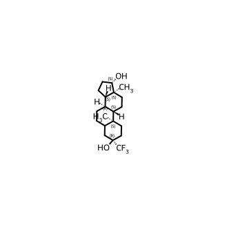 C[C@]12CC[C@H]3[C@@H](CCC4C[C@@](O)(C(F)(F)F)CC[C@@]43C)[C@@H]1CC[C@@H]2O